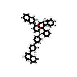 c1ccc(N(c2ccc(-c3ccc(-c4cccc5ccccc45)cc3)cc2)c2ccc(-c3ccc4ccccc4c3)cc2)c(-c2cccc3oc4ccccc4c23)c1